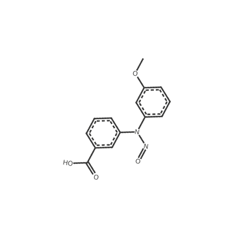 COc1cccc(N(N=O)c2cccc(C(=O)O)c2)c1